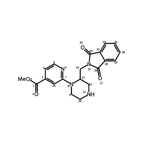 COC(=O)c1ccnc(N2CCNCC2CN2C(=O)c3ccccc3C2=O)c1